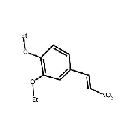 CCOc1ccc(/C=C/[N+](=O)[O-])cc1OCC